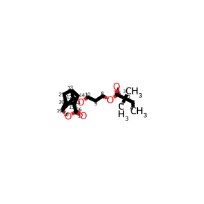 CCC(C)(C)C(=O)OCCCOC1C2CC3C(=O)OC1C3C2